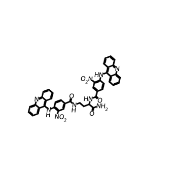 NC(=O)C(CCNC(=O)c1ccc(Nc2c3ccccc3nc3ccccc23)c([N+](=O)[O-])c1)NC(=O)c1ccc(Nc2c3ccccc3nc3ccccc23)c([N+](=O)[O-])c1